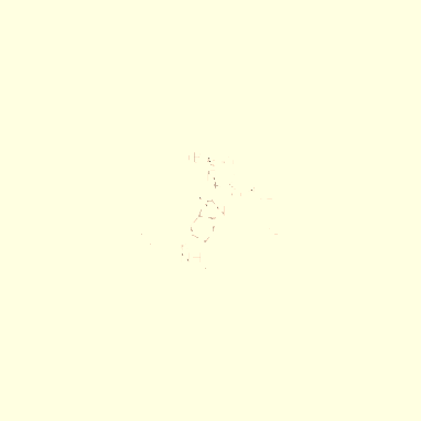 C[C@H](O[C@H](C)[C@H](N[S@+]([O-])C(C)(C)C)c1nc2cc([C@H](N)COC3CC3)ccc2n1COCC[Si](C)(C)C)C(F)(F)F